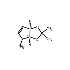 CC1(C)O[C@H]2C=CC(N)[C@H]2O1